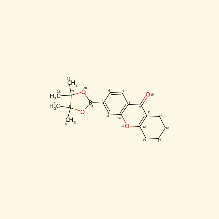 CC1(C)OB(c2ccc3c(=O)c4c(oc3c2)CCCC4)OC1(C)C